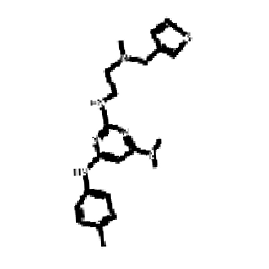 Cc1ccc(Nc2cc(N(C)C)nc(NCCN(C)Cc3ccsc3)n2)cc1